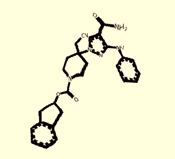 N#CCC1(n2cc(C(N)=O)c(Nc3ccccc3)n2)CCN(C(=O)OC2Cc3ccccc3C2)CC1